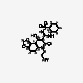 CC(C)CCn1c(=O)c(C2=NS(=O)(=O)c3ccccc3N2)c(O)c2c3c(ccc21)OCO3